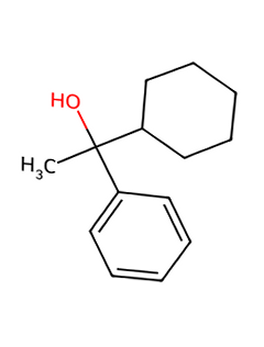 CC(O)(c1ccccc1)C1CCCCC1